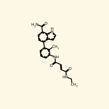 CCNC(=O)C=CC(=O)Nc1cccc(-c2ccc(C(N)=O)c3[nH]ccc23)c1C